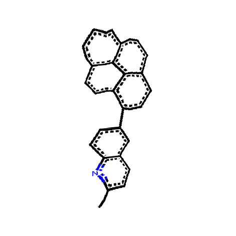 Cc1ccc2cc(-c3ccc4ccc5cccc6ccc3c4c56)ccc2n1